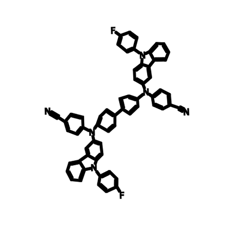 N#Cc1ccc(N(c2ccc(-c3ccc(N(c4ccc(C#N)cc4)c4ccc5c(c4)c4ccccc4n5-c4ccc(F)cc4)cc3)cc2)c2ccc3c(c2)c2ccccc2n3-c2ccc(F)cc2)cc1